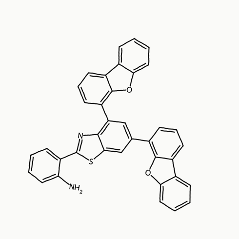 Nc1ccccc1-c1nc2c(-c3cccc4c3oc3ccccc34)cc(-c3cccc4c3oc3ccccc34)cc2s1